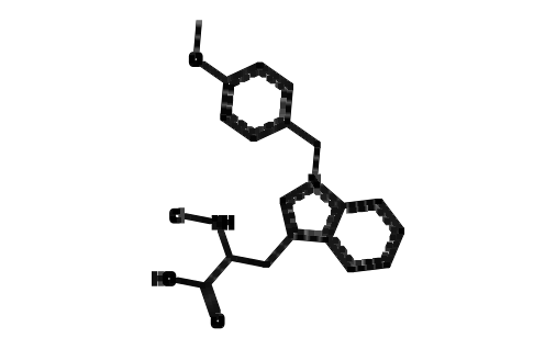 COc1ccc(Cn2cc(CC(NCl)C(=O)O)c3ccccc32)cc1